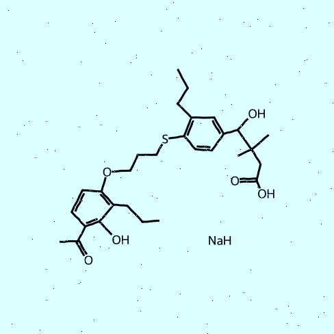 CCCc1cc(C(O)C(C)(C)CC(=O)O)ccc1SCCCOc1ccc(C(C)=O)c(O)c1CCC.[NaH]